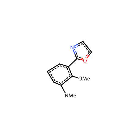 CNc1cccc(-c2ncco2)c1OC